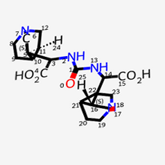 O=C(NC(C(=O)O)[C@@H]1CN2CCC1CC2)NC(C(=O)O)[C@@H]1CN2CCC1CC2